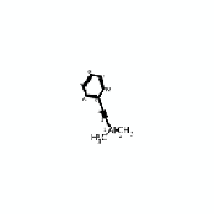 [CH3][Al]([CH3])[C]#Cc1ccccc1